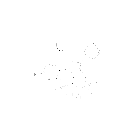 O=P(O)(O)C(O)C(c1nn(-c2ccc(F)cc2)cc1-c1ccc(Cl)cc1)P(=O)(O)O.[Na].[Na]